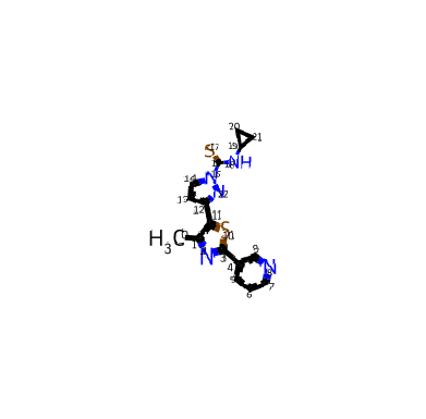 Cc1nc(-c2cccnc2)sc1-c1ccn(C(=S)NC2CC2)n1